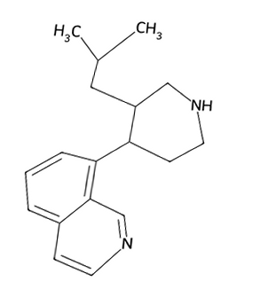 CC(C)CC1CNCCC1c1cccc2ccncc12